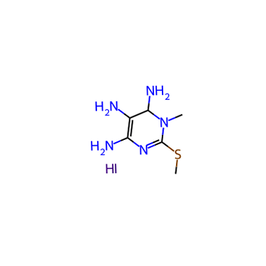 CSC1=NC(N)=C(N)C(N)N1C.I